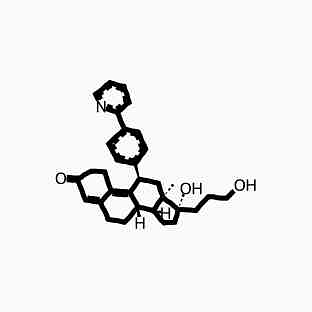 C[C@@]12C[C@H](c3ccc(-c4ccccn4)cc3)C3=C4CCC(=O)C=C4CC[C@H]3[C@@H]1CC[C@]2(O)CCCO